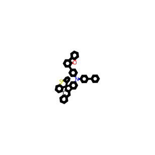 c1ccc(-c2ccc(N(c3ccc(-c4cccc5c4oc4ccccc45)cc3)c3ccc4c(c3)C3(c5ccccc5Sc5ccccc53)c3cc5ccccc5cc3-4)cc2)cc1